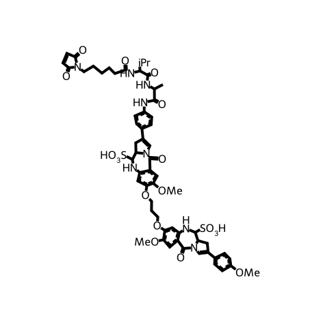 COc1ccc(C2=CN3C(=O)c4cc(OC)c(OCCCOc5cc6c(cc5OC)C(=O)N5C=C(c7ccc(NC(=O)C(C)NC(=O)C(NC(=O)CCCCCN8C(=O)C=CC8=O)C(C)C)cc7)CC5C(S(=O)(=O)O)N6)cc4NC(S(=O)(=O)O)C3C2)cc1